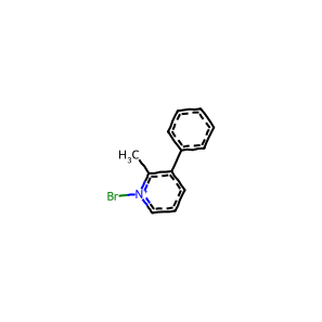 Cc1c(-c2ccccc2)ccc[n+]1Br